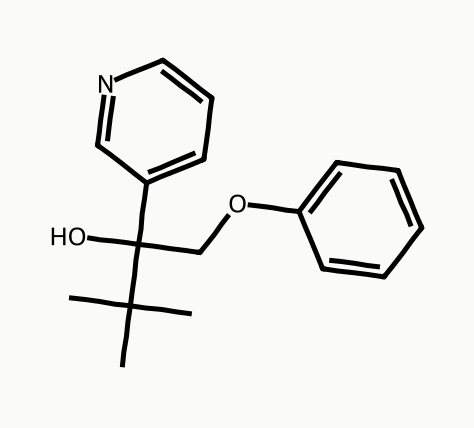 CC(C)(C)C(O)(COc1ccccc1)c1cccnc1